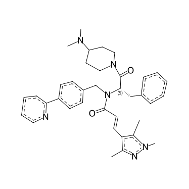 Cc1nn(C)c(C)c1C=CC(=O)N(Cc1ccc(-c2ccccn2)cc1)[C@@H](Cc1ccccc1)C(=O)N1CCC(N(C)C)CC1